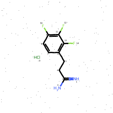 Cl.N=C(N)CCc1ccc(F)c(F)c1F